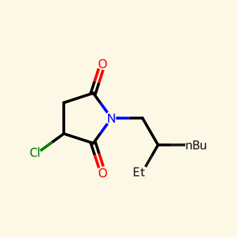 CCCCC(CC)CN1C(=O)CC(Cl)C1=O